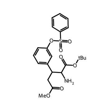 COC(=O)CC(c1cccc(OS(=O)(=O)c2ccccc2)c1)C(N)C(=O)OC(C)(C)C